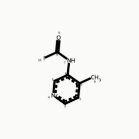 Cc1ccncc1NC(=O)I